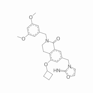 COc1cc(CN2CCc3c(OC4CCC4)cc(Cn4ccoc4=N)cc3C2=O)cc(OC)c1